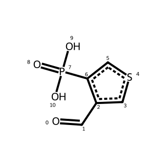 O=Cc1cscc1P(=O)(O)O